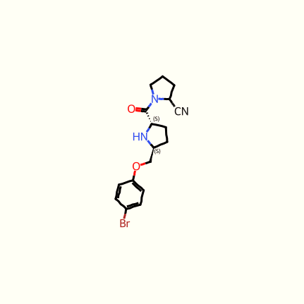 N#CC1CCCN1C(=O)[C@@H]1CC[C@@H](COc2ccc(Br)cc2)N1